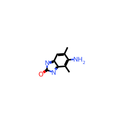 Cc1cc2c(c(C)c1N)=NC(=O)N=2